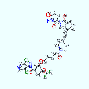 O=C1CCC(N2Cc3c(C#CC4CCN(C(=O)CCCCOc5cc(C(=O)Nc6c(Cl)cncc6Cl)ccc5OC(F)F)CC4)cccc3C2=O)C(=O)N1